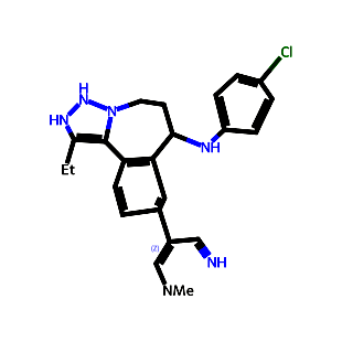 CCC1=C2c3ccc(/C(C=N)=C/NC)cc3C(Nc3ccc(Cl)cc3)CCN2NN1